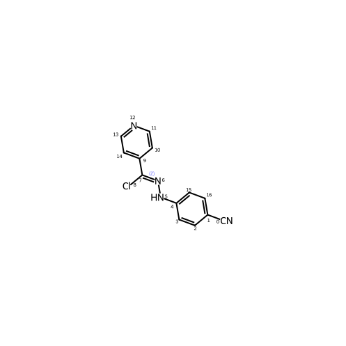 N#Cc1ccc(N/N=C(\Cl)c2ccncc2)cc1